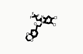 O=C(Cn1c(CC(F)(F)F)nc2cc(Cl)c(Cl)cc21)c1ccc2c(c1)OCCO2